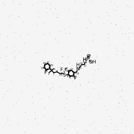 CC(C)(CCCCSc1cc(F)c(CNCCCO[PH](=O)O)cc1C(F)(F)F)c1ccccc1F